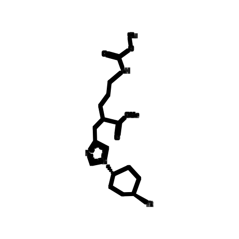 CC[C@H]1CC[C@H](n2cnc(CC(CCCNC(=O)OC(C)(C)C)C(=O)OC)c2)CC1